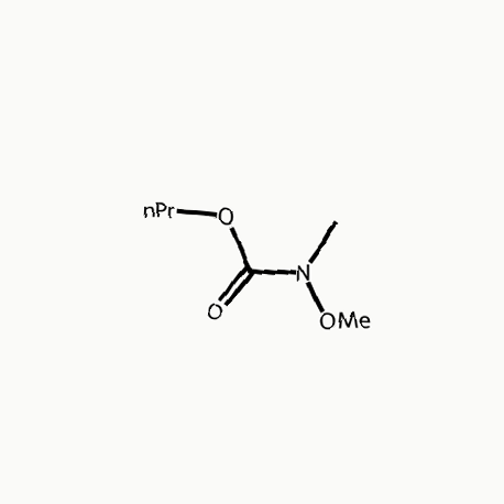 CCCOC(=O)N(C)OC